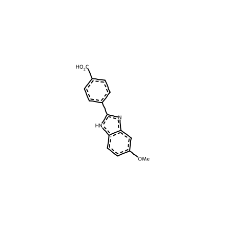 COc1ccc2[nH]c(-c3ccc(C(=O)O)cc3)nc2c1